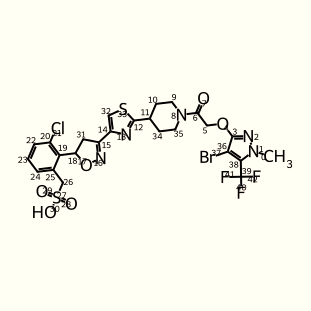 Cn1nc(OCC(=O)N2CCC(c3nc(C4=NOC(c5c(Cl)cccc5CS(=O)(=O)O)C4)cs3)CC2)c(Br)c1C(F)(F)F